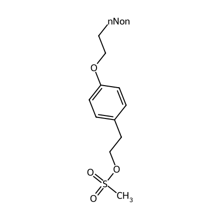 CCCCCCCCCCCOc1ccc(CCOS(C)(=O)=O)cc1